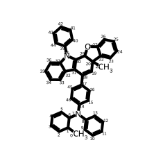 CC1C=CC=CC1N(c1ccccc1)c1ccc(C2=CC3(C)c4ccccc4OC3c3c2c2ccccc2n3-c2ccccc2)cc1